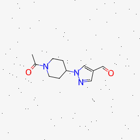 CC(=O)N1CCC(n2cc(C=O)cn2)CC1